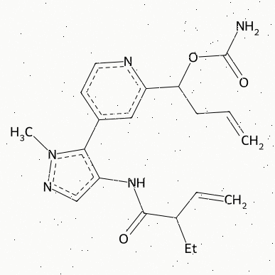 C=CCC(OC(N)=O)c1cc(-c2c(NC(=O)C(C=C)CC)cnn2C)ccn1